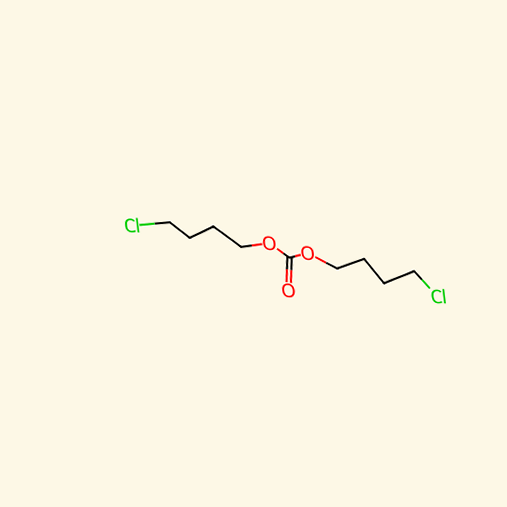 O=C(OCCCCCl)OCCCCCl